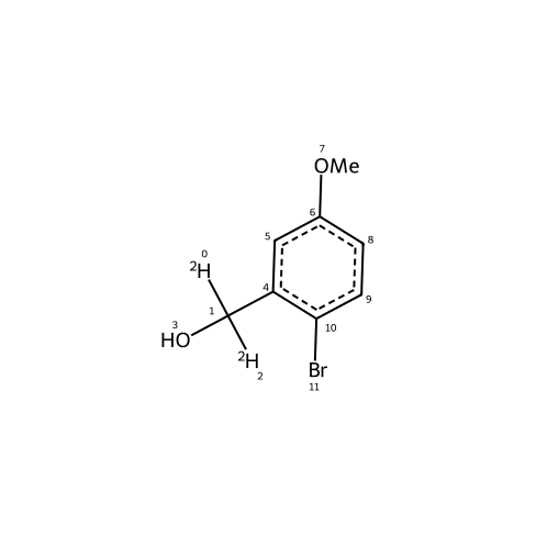 [2H]C([2H])(O)c1cc(OC)ccc1Br